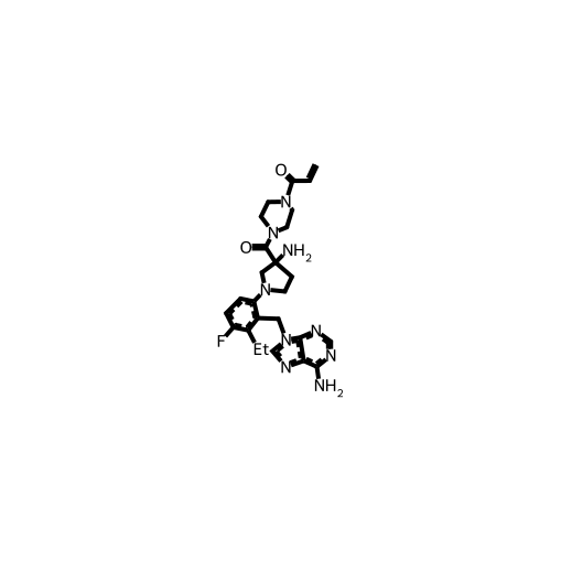 C=CC(=O)N1CCN(C(=O)C2(N)CCN(c3ccc(F)c(CC)c3Cn3cnc4c(N)ncnc43)C2)CC1